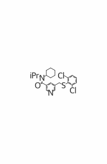 CC(C)N(C(=O)c1cncc(CSc2c(Cl)cccc2Cl)c1)C1CCCCC1